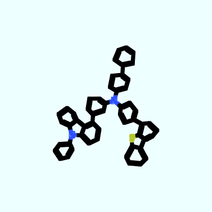 c1ccc(-c2ccc(N(c3ccc(-c4cccc5c4sc4ccccc45)cc3)c3cccc(-c4cccc5c4c4ccccc4n5-c4ccccc4)c3)cc2)cc1